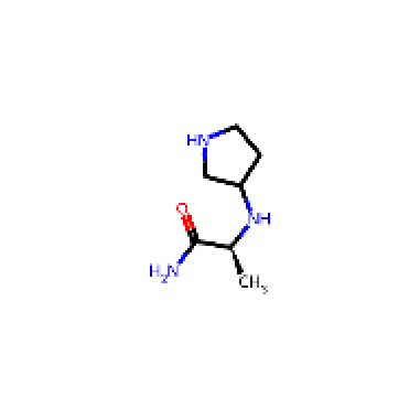 C[C@H](NC1CCNC1)C(N)=O